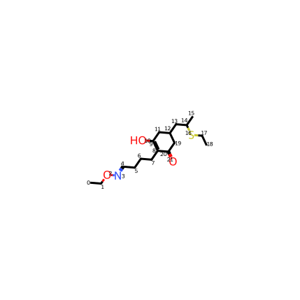 CCON=CCCCC1=C(O)CC(CC(C)SCC)CC1=O